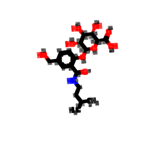 CC(C)CCNC(=O)c1cc(CO)ccc1O[C@@H]1O[C@H](C(=O)O)[C@@H](O)[C@H](O)[C@H]1O